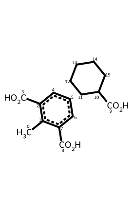 Cc1c(C(=O)O)cccc1C(=O)O.O=C(O)C1CCCCC1